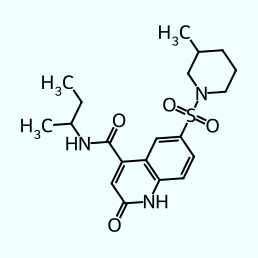 CCC(C)NC(=O)c1cc(=O)[nH]c2ccc(S(=O)(=O)N3CCCC(C)C3)cc12